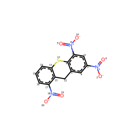 O=[N+]([O-])c1cc2c(c([N+](=O)[O-])c1)Sc1cccc([N+](=O)[O-])c1C2